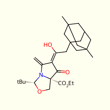 C=C1/C(=C(\O)CC23CC4CC(C)(CC(C)(C4)C2)C3)C(=O)[C@@]2(C(=O)OCC)CO[C@H](C(C)(C)C)N12